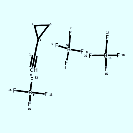 C#CC1CC1.F[B-](F)(F)F.F[B-](F)(F)F.F[B-](F)(F)F